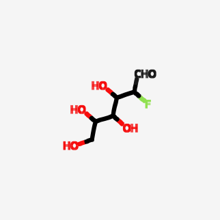 O=CC(F)C(O)C(O)C(O)CO